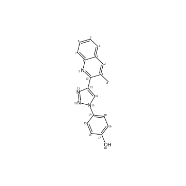 Cc1cc2ccccc2nc1-c1cn(-c2ccc(O)cc2)nn1